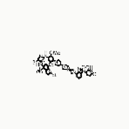 CCc1ccc2c(P(C)(C)=O)c(Nc3nc(Nc4cc(CC)c(N5CCC(N6CCN(C7CN(c8cccc9c8n(C)c(=O)n9C8CCC(=O)NC8=O)C7)CC6)CC5)cc4OC)ncc3Br)ccc2n1